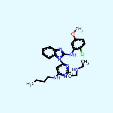 CCCCNc1cc(-n2c(Nc3cc(OC)ccc3Cl)nc3ccccc32)ncn1.CCNCC